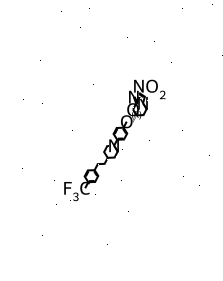 O=[N+]([O-])c1cn2c(n1)O[C@@H](COc1ccc(N3CCC(CCc4ccc(C(F)(F)F)cc4)CC3)cc1)CC2